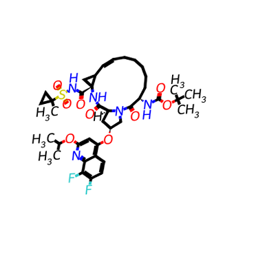 CC(C)Oc1cc(O[C@@H]2C[C@H]3C(=O)N[C@]4(C(=O)NS(=O)(=O)C5(C)CC5)CC4/C=C\CCCCC[C@H](NC(=O)OC(C)(C)C)C(=O)N3C2)c2ccc(F)c(F)c2n1